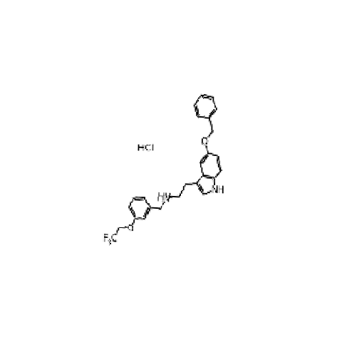 Cl.FC(F)(F)COc1cccc(CNCCc2c[nH]c3ccc(OCc4ccccc4)cc23)c1